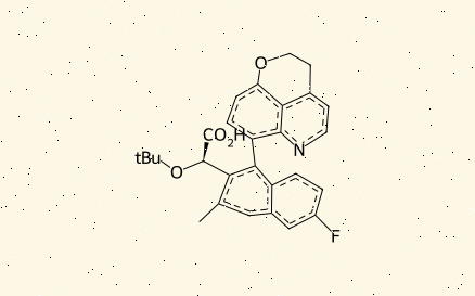 Cc1cc2cc(F)ccc2c(-c2ccc3c4c(ccnc24)CCO3)c1[C@@H](OC(C)(C)C)C(=O)O